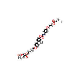 C=CC(=O)OCCCCOc1ccc(/C=C/C(=O)Oc2ccc(-c3ccc(OCCCCCCOC(=O)C(=C)CO)cc3)c(CC)c2)cc1